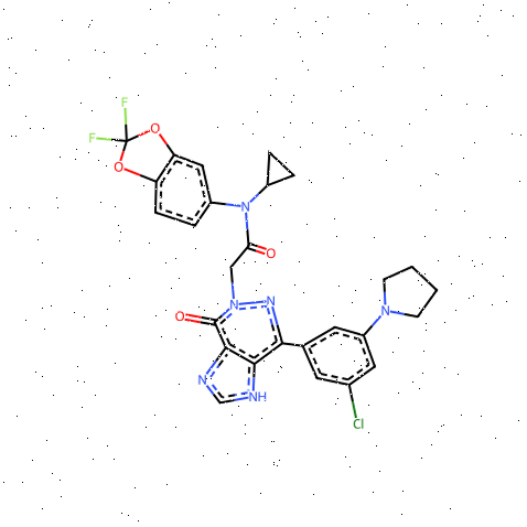 O=C(Cn1nc(-c2cc(Cl)cc(N3CCCC3)c2)c2[nH]cnc2c1=O)N(c1ccc2c(c1)OC(F)(F)O2)C1CC1